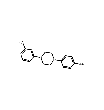 Cc1cc(N2CCN(c3ccc(N)cc3)CC2)ccn1